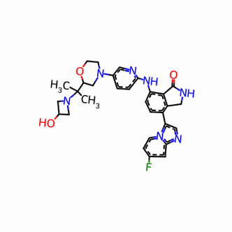 CC(C)(C1CN(c2ccc(Nc3ccc(-c4cnc5cc(F)ccn45)c4c3C(=O)NC4)nc2)CCO1)N1CC(O)C1